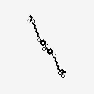 C=CC(=O)OCCCCCCCCOc1ccc(OC(=O)c2ccc(OCCCCCCCC3CC(=C)C(=O)O3)cc2)cc1